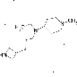 CCN(CCCC1CNC1)C1CCN(C)CC1